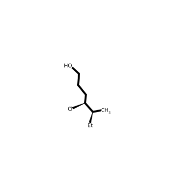 CC[C@H](C)[C@@H](Cl)CCCO